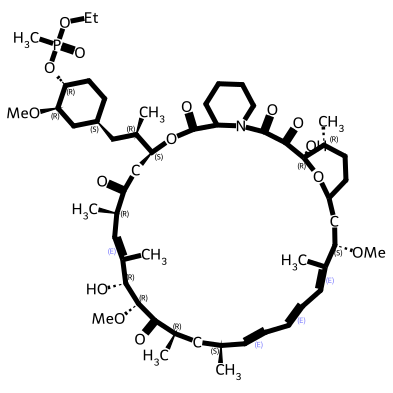 CCOP(C)(=O)O[C@@H]1CC[C@@H](C[C@@H](C)[C@@H]2CC(=O)[C@H](C)/C=C(\C)[C@@H](O)[C@@H](OC)C(=O)[C@H](C)C[C@H](C)/C=C/C=C/C=C(\C)[C@@H](OC)CC3CC[C@@H](C)[C@@](O)(O3)C(=O)C(=O)N3CCCCC3C(=O)O2)C[C@H]1OC